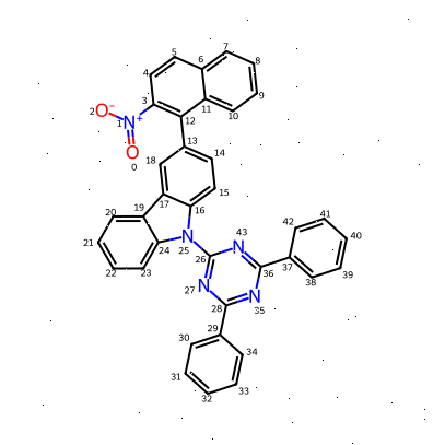 O=[N+]([O-])c1ccc2ccccc2c1-c1ccc2c(c1)c1ccccc1n2-c1nc(-c2ccccc2)nc(-c2ccccc2)n1